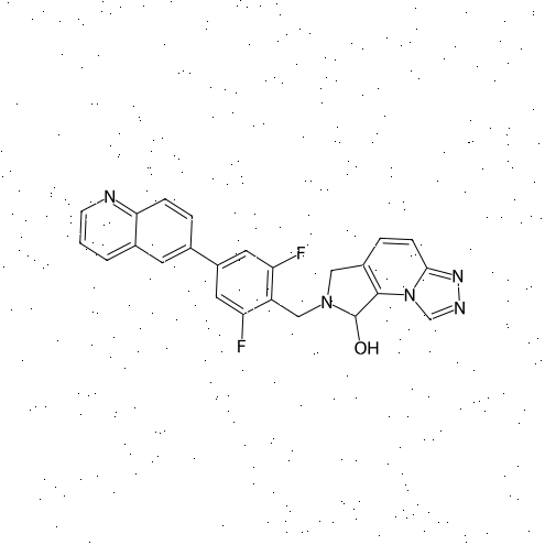 OC1c2c(ccc3nncn23)CN1Cc1c(F)cc(-c2ccc3ncccc3c2)cc1F